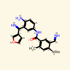 CNc1cc(C)c(C(=O)Nc2ccc(N)c(C(=N)c3ccoc3)c2)cc1C=N